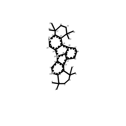 CC1(C)CCC(C)(C)c2c1ncc1c2c2cccc3c4c5c(ncc4n1c23)C(C)(C)CCC5(C)C